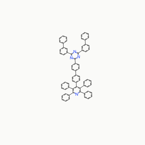 c1ccc(-c2cccc(-c3nc(-c4ccc(-c5ccc(-c6c(-c7ccccc7)c(-c7ccccc7)nc(-c7ccccc7)c6-c6ccccc6)cc5)cc4)nc(-c4cccc(-c5ccccc5)c4)n3)c2)cc1